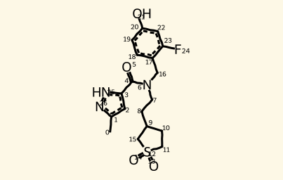 Cc1cc(C(=O)N(CCC2CCS(=O)(=O)C2)Cc2ccc(O)cc2F)[nH]n1